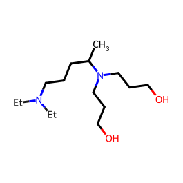 CCN(CC)CCCC(C)N(CCCO)CCCO